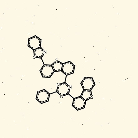 c1ccc(-c2nc(-c3cccc4sc5ccccc5c34)nc(-c3cccc4sc5c(-c6nc7ccccc7s6)cccc5c34)n2)cc1